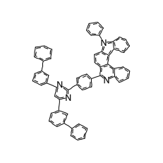 c1ccc(-c2cccc(-c3cc(-c4cccc(-c5ccccc5)c4)nc(-c4ccc(-c5nc6ccccc6c6c5ccc5c6c6ccccc6n5-c5ccccc5)cc4)n3)c2)cc1